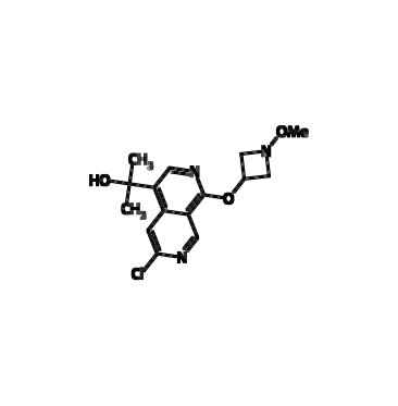 CON1CC(Oc2ncc(C(C)(C)O)c3cc(Cl)ncc23)C1